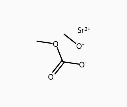 COC(=O)[O-].C[O-].[Sr+2]